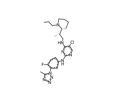 CCCN1CCCC[C@@H]1[C@@H](C)CNc1nc(Nc2ccc(F)c(-n3nnnc3C)c2)ncc1Cl